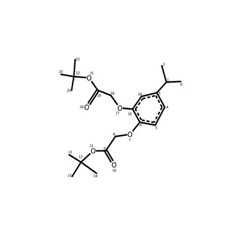 CC(C)c1ccc(OCC(=O)OC(C)(C)C)c(OCC(=O)OC(C)(C)C)c1